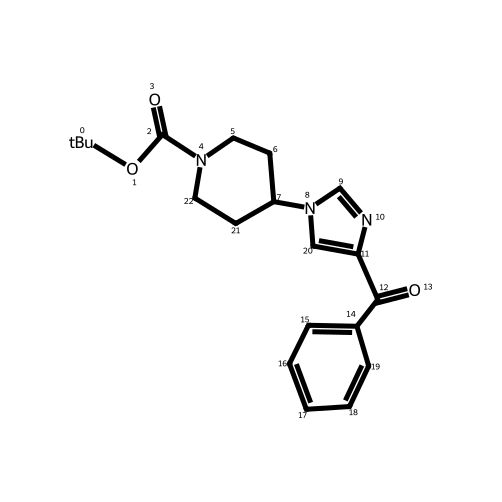 CC(C)(C)OC(=O)N1CCC(n2cnc(C(=O)c3ccccc3)c2)CC1